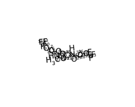 CC1(NC(=O)c2ccc(OCC(F)(F)F)cc2)COC2(CCC(NC(=O)c3ccc(OCC(F)(F)F)cc3)CC2)OC1